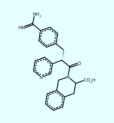 N=C(N)c1ccc(C[C@H](C(=O)N2Cc3ccccc3CC2C(=O)O)c2cccnc2)cc1